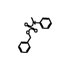 CN(c1ccccc1)S(=O)(=O)OCc1ccccc1